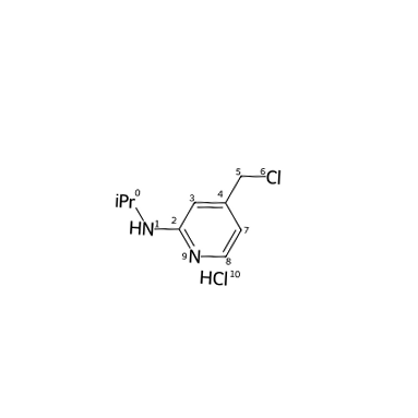 CC(C)Nc1cc(CCl)ccn1.Cl